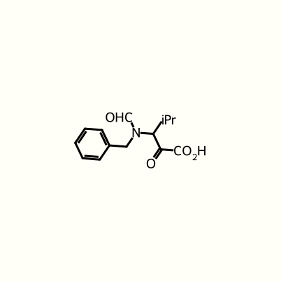 CC(C)C(C(=O)C(=O)O)N(C=O)Cc1ccccc1